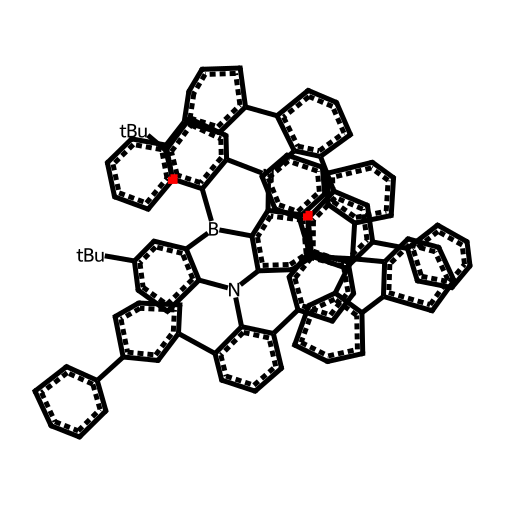 CC(C)(C)c1ccc2c(c1)B1c3cc(C(C)(C)C)ccc3N(c3c(-c4cccc(-c5ccccc5)c4)cccc3-c3cccc(-c4ccccc4)c3)c3cc(C4(c5ccccc5)c5ccccc5-c5ccccc54)cc(c31)N2c1c(-c2cccc(-c3ccccc3)c2)cccc1-c1cccc(-c2ccccc2)c1